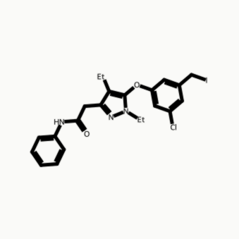 CCc1c(CC(=O)Nc2ccccc2)nn(CC)c1Oc1cc(Cl)cc(CI)c1